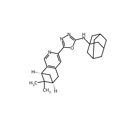 CC1(C)[C@@H]2Cc3cc(-c4nnc(NC56CC7CC(CC(C7)C5)C6)o4)ncc3[C@H]1C2